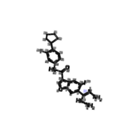 N/N=C(\NN)c1cc2occ(C(=O)Nc3ccc(C4CCCC4)c(F)c3)c2cc1F